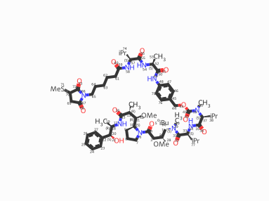 CC[C@H](C)[C@@H]([C@@H](CC(=O)N1CCC[C@H]1[C@H](OC)[C@@H](C)C(=O)N[C@H](C)[C@@H](O)c1ccccc1)OC)N(C)C(=O)[C@@H](NC(=O)[C@H](C(C)C)N(C)C(=O)OCc1ccc(NC(=O)[C@H](C)NC(=O)[C@@H](NC(=O)CCCCCN2C(=O)CC(SC)C2=O)C(C)C)cc1)C(C)C